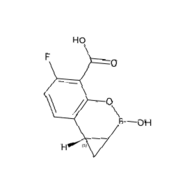 O=C(O)c1c(F)ccc2c1OB(O)C1C[C@H]21